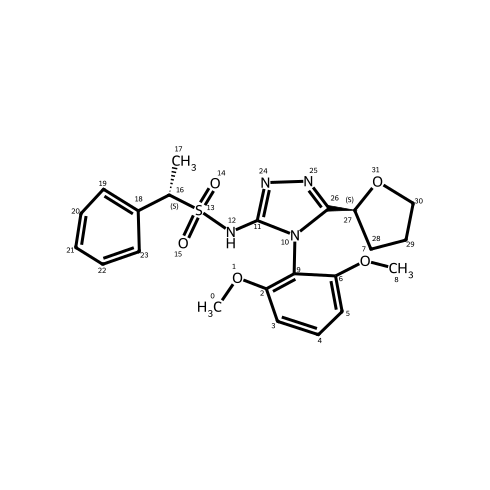 COc1cccc(OC)c1-n1c(NS(=O)(=O)[C@@H](C)c2ccccc2)nnc1[C@@H]1CCCO1